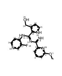 COc1cccc(C(=N)/N=C(/Nc2ccncc2F)c2[nH]ccc2CO)n1